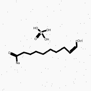 CCCCCCCC/C=C\CCCCCCC[C](=O)[Na].O=P(O)(O)O